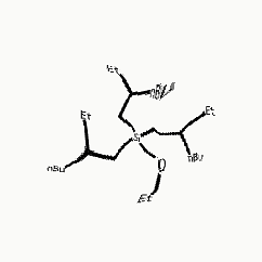 CCCCC(CC)C[Si](CC(CC)CCCC)(CC(CC)CCCC)OCC